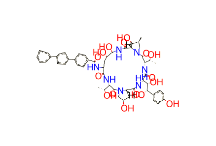 C[C@@H](O)[C@@H]1NC(=O)[C@H]([C@H](O)[C@@H](O)c2ccc(O)cc2)NC(=O)[C@@H]2C[C@@H](O)CN2C(=O)[C@H]([C@@H](C)O)NC(=O)C(NC(=O)c2ccc(-c3ccc(-c4ccccc4)cc3)cc2)C[C@@H](O)[C@@H](O)NC(=O)[C@@H]2[C@@H](O)[C@@H](C)CN2C1=O